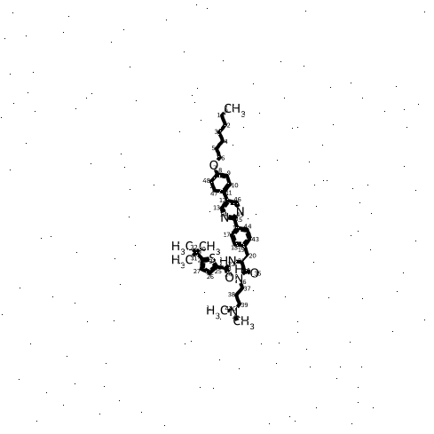 CCCCCCCOC1=CC=C(c2cnc(-c3ccc(C[C@H](NC(=O)c4ccc(C(C)(C)C)s4)C(=O)NCCCN(C)C)cc3)nc2)CC1